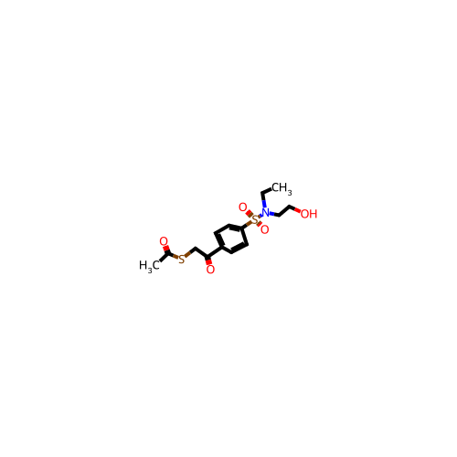 CCN(CCO)S(=O)(=O)c1ccc(C(=O)CSC(C)=O)cc1